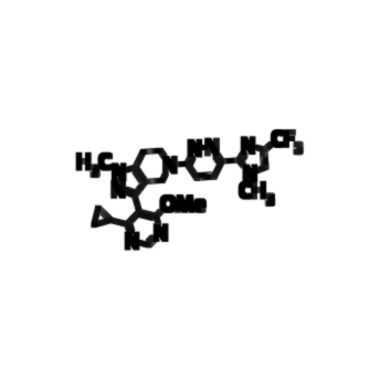 COc1ncnc(C2CC2)c1-c1nn(C)c2c1CN(c1ccc(-c3nc(C(F)(F)F)cn3C)nn1)CC2